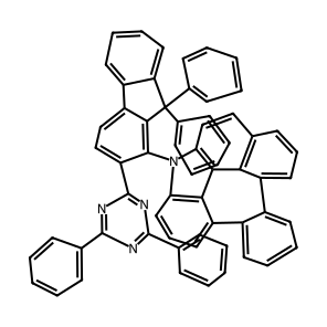 c1ccc(-c2nc(-c3ccccc3)nc(-c3ccc4c(c3-n3c5cccc6c5c5c7c(cccc7ccc53)-c3ccccc3-6)C(c3ccccc3)(c3ccccc3)c3ccccc3-4)n2)cc1